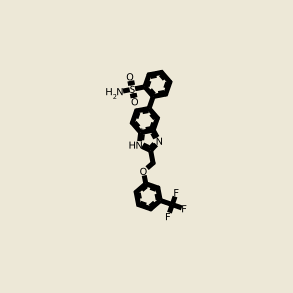 NS(=O)(=O)c1ccccc1-c1ccc2[nH]c(COc3cccc(C(F)(F)F)c3)nc2c1